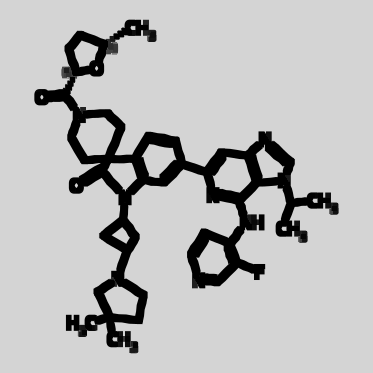 CC(C)n1cnc2cc(-c3ccc4c(c3)N(C3CC(N5CCC(C)(C)C5)C3)C(=O)C43CCN(C(=O)[C@@H]4CC[C@H](C)O4)CC3)nc(Nc3ccncc3F)c21